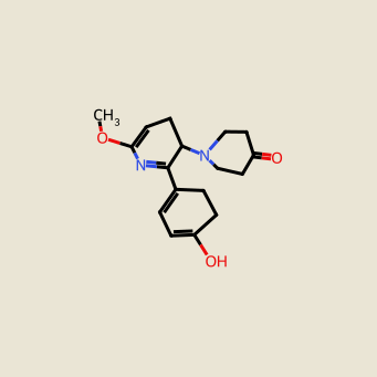 COC1=CCC(N2CCC(=O)CC2)C(C2=CC=C(O)CC2)=N1